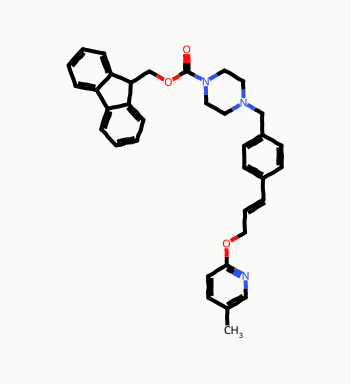 Cc1ccc(OCC=Cc2ccc(CN3CCN(C(=O)OCC4c5ccccc5-c5ccccc54)CC3)cc2)nc1